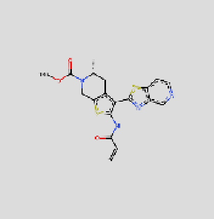 C=CC(=O)Nc1sc2c(c1-c1nc3cnccc3s1)C[C@@H](C)N(C(=O)OC(C)(C)C)C2